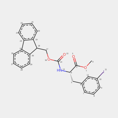 COC(=O)[C@H](Cc1cccc(I)c1)NC(=O)OCC1c2ccccc2-c2ccccc21